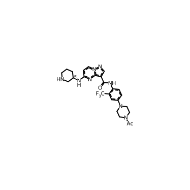 CC(=O)N1CCN(c2ccc(NC(=O)c3cnn4ccc(N[C@@H]5CCCNC5)nc34)c(C(F)(F)F)c2)CC1